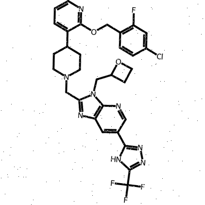 Fc1cc(Cl)ccc1COc1ncccc1C1CCN(Cc2nc3cc(-c4nnc(C(F)(F)F)[nH]4)cnc3n2CC2CCO2)CC1